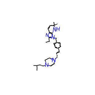 CCc1nc2c(n1Cc1ccc(C=CCN3CCN(CCC(C)C)CC3)cc1)NC(C)(C)C=C2